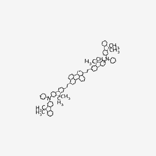 CC1(C)c2ccccc2-c2ccc(N(c3ccccc3)c3ccc4c(c3)C(C)(C)c3cc(/C=C/c5ccc6c7cccc8c(/C=C/c9ccc%10c(c9)C(C)(C)c9cc(N(c%11ccccc%11)c%11ccc%12c(c%11)C(C)(C)c%11ccccc%11-%12)ccc9-%10)ccc(c9cccc5c96)c87)ccc3-4)cc21